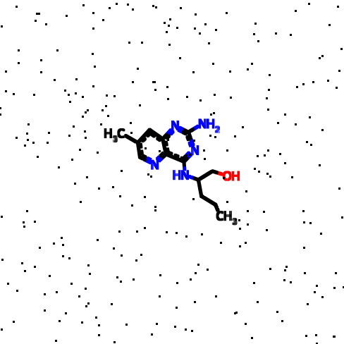 CCCC(CO)Nc1nc(N)nc2cc(C)cnc12